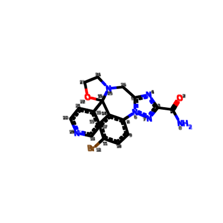 NC(=O)c1nc2n(n1)-c1ccc(Br)cc1C1(c3ccncc3)OCCN1C2